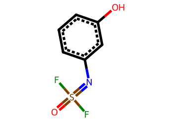 O=S(F)(F)=Nc1cccc(O)c1